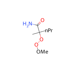 CCCC(C)(OOOC)C(N)=O